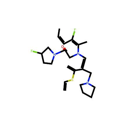 C=CSC(=C)/C(=C\N(CC(=O)N1CCC(F)C1)/C(C)=C(F)\C=C/C)CN1CCCC1